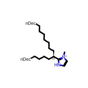 CCCCCCCCCCCCCCCCC[C@H](CCCCCCCCCCCCCC)c1[nH]cc[n+]1C